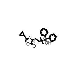 CC(C)(CC[C@@H]1N=C(C2CC2)COC1=O)[Si](O)(c1ccccc1)c1ccccc1